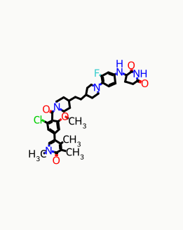 COc1cc(-c2cn(C)c(=O)c(C)c2C)cc(Cl)c1C(=O)N1CCC(CCC2CCN(c3ccc(NC4CCC(=O)NC4=O)cc3F)CC2)CC1